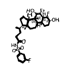 CC[C@H]1[C@@H](O)[C@@H]2[C@H](CC[C@]3(C)[C@@H](C(C)CCC(=O)NS(=O)(=O)c4cccc(F)c4)CC[C@@H]23)[C@@]2(C)CC[C@@H](O)[C@H](F)[C@@H]12